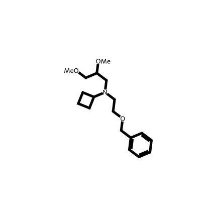 COCC(CN(CCOCc1ccccc1)C1CCC1)OC